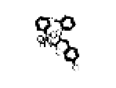 CC(NS(=O)(=O)c1ccccc1)C(Cc1ccc(Cl)cc1)Oc1ccccc1Cl